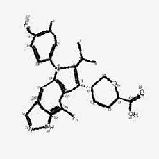 Cc1cc(-n2c(C(C)C)c([C@H]3CC[C@H](C(=O)O)OC3)c3c(F)c4[nH]ncc4cc32)ccc1F